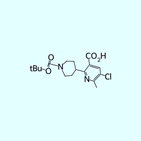 Cc1nc(C2CCN(C(=O)OC(C)(C)C)CC2)c(C(=O)O)cc1Cl